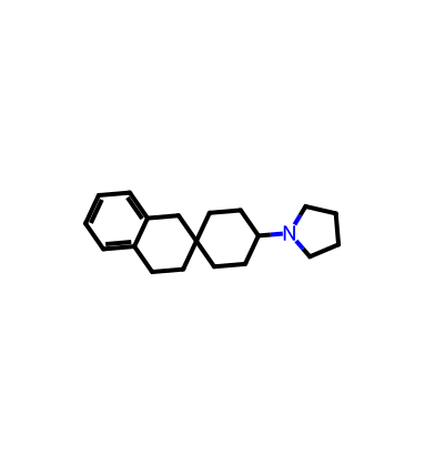 c1ccc2c(c1)CCC1(CCC(N3CCCC3)CC1)C2